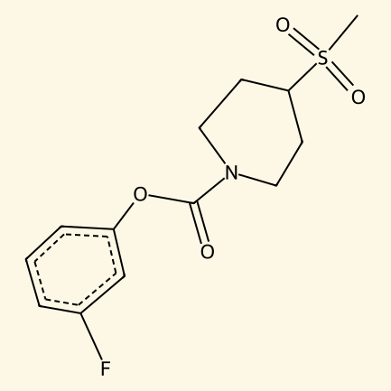 CS(=O)(=O)C1CCN(C(=O)Oc2cccc(F)c2)CC1